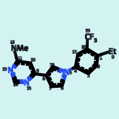 CCc1ccc(-n2ccc(-c3cc(NC)ncn3)c2)cc1C(F)(F)F